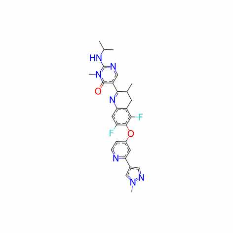 CC(C)Nc1ncc(C2=Nc3cc(F)c(Oc4ccnc(-c5cnn(C)c5)c4)c(F)c3CC2C)c(=O)n1C